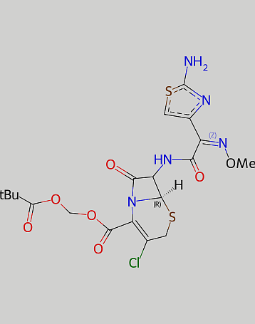 CO/N=C(\C(=O)NC1C(=O)N2C(C(=O)OCOC(=O)C(C)(C)C)=C(Cl)CS[C@H]12)c1csc(N)n1